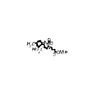 COC(=O)CCCN1C=C(C(=O)O)C(c2ccc(C)cc2)NS1(=O)=O